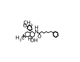 COc1cccc([C@@]23CCN(C)C[C@H]2C(O)C[C@@H](NC(=O)CCCCCc2ccccc2)C3)c1